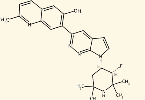 Cc1ccc2cc(O)c(-c3cc4ccn([C@H]5CC(C)(C)NC(C)(C)[C@H]5F)c4nn3)cc2n1